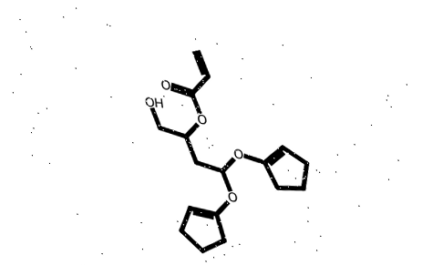 C=CC(=O)OC(CO)CC(OC1=CCCC1)OC1=CCCC1